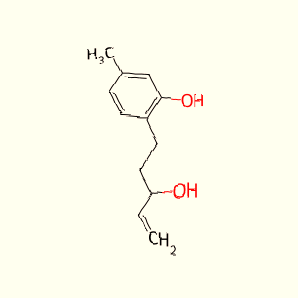 C=CC(O)CCc1ccc(C)cc1O